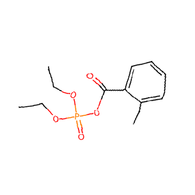 CCOP(=O)(OCC)OC(=O)c1ccccc1C